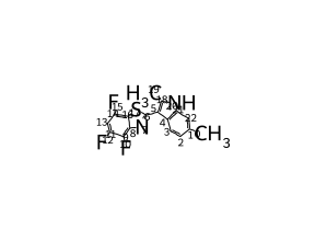 Cc1ccc2c(-c3nc4c(F)c(F)cc(F)c4s3)c(C)[nH]c2c1